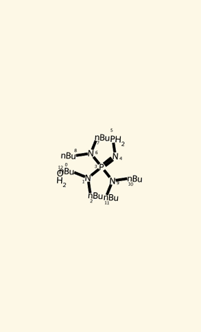 CCCCN(CCCC)P(=NP)(N(CCCC)CCCC)N(CCCC)CCCC.O